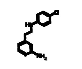 Nc1[c]ccc(CCNc2ccc(Cl)cc2)c1